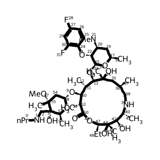 CCCNC[C@]1(O)[C@H](C)O[C@@H](O[C@H]2[C@H](C)[C@@H](O[C@@H]3O[C@H](C)C[C@H](NC)[C@H]3Oc3ccc(F)cc3F)[C@](C)(O)C[C@@H](C)CN[C@H](C)[C@@H](O)[C@](C)(O)[C@@H](CC)OC(=O)[C@@H]2C)C[C@@]1(C)OC